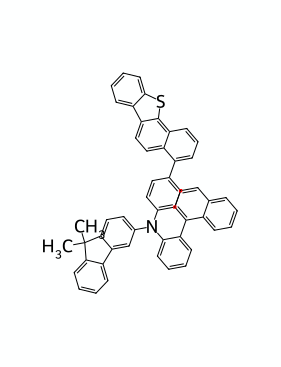 CC1(C)c2ccccc2-c2cc(N(c3ccc(-c4cccc5c4ccc4c6ccccc6sc54)cc3)c3ccccc3-c3cccc4ccccc34)ccc21